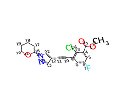 COC(=O)c1cc(F)cc(C#Cc2cnn(C3CCCCO3)c2)c1Cl